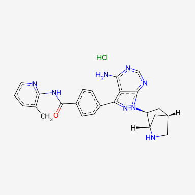 Cc1cccnc1NC(=O)c1ccc(-c2nn([C@H]3C[C@@H]4CN[C@H]3C4)c3ncnc(N)c23)cc1.Cl